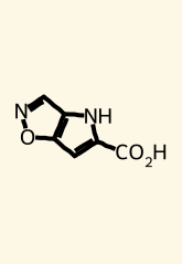 O=C(O)c1cc2oncc2[nH]1